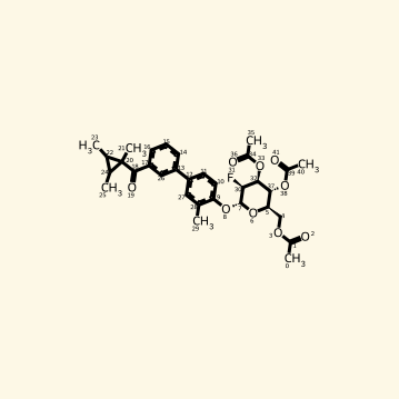 CC(=O)OC[C@H]1O[C@H](Oc2ccc(-c3cccc(C(=O)C4(C)C(C)C4C)c3)cc2C)[C@@H](F)[C@@H](OC(C)=O)[C@@H]1OC(C)=O